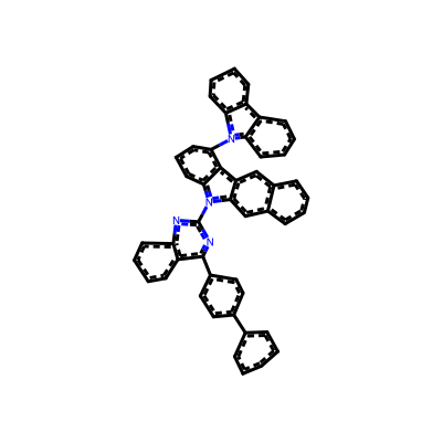 c1ccc(-c2ccc(-c3nc(-n4c5cc6ccccc6cc5c5c(-n6c7ccccc7c7ccccc76)cccc54)nc4ccccc34)cc2)cc1